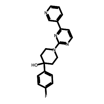 OC1(c2ccc(F)cc2)CCN(c2nccc(-c3cccnc3)n2)CC1